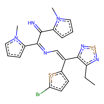 CCc1nsnc1/C(=C/N=C(\C(=N)c1cccn1C)c1cccn1C)c1ccc(Br)s1